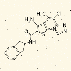 Cc1c(Cl)c2nncn2c2sc(C(=O)NC3Cc4ccccc4C3)c(N)c12